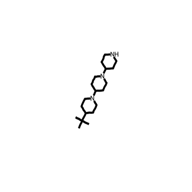 CC(C)(C)C1CCN(C2CCN(C3CCNCC3)CC2)CC1